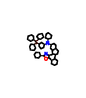 c1ccc(-c2nc3c(o2)c2ccccc2c2ccc4ccc(N(c5ccccc5)c5cccc(S(c6ccccc6)(c6ccccc6)c6ccccc6)c5)cc4c23)cc1